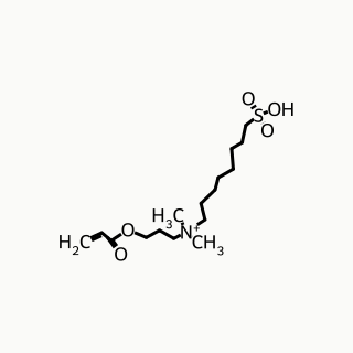 C=CC(=O)OCCC[N+](C)(C)CCCCCCCCS(=O)(=O)O